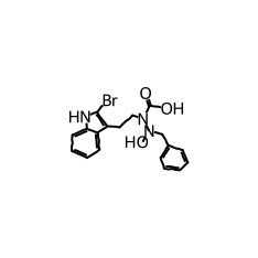 O=C(O)N(CCc1c(Br)[nH]c2ccccc12)N(O)Cc1ccccc1